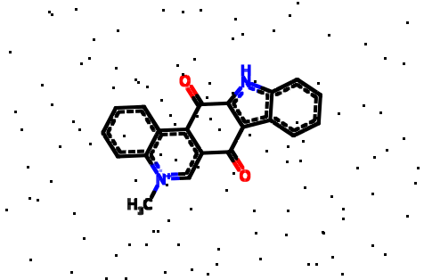 C[n+]1cc2c(c3ccccc31)C(=O)c1[nH]c3ccccc3c1C2=O